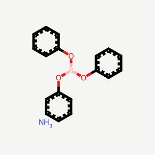 N.c1ccc(OB(Oc2ccccc2)Oc2ccccc2)cc1